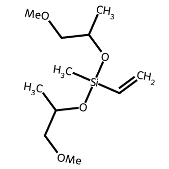 C=C[Si](C)(OC(C)COC)OC(C)COC